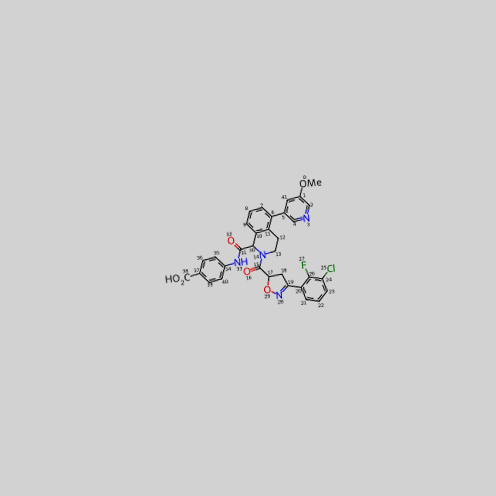 COc1cncc(-c2cccc3c2CCN(C(=O)C2CC(c4cccc(Cl)c4F)=NO2)C3C(=O)Nc2ccc(C(=O)O)cc2)c1